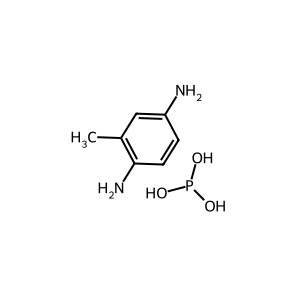 Cc1cc(N)ccc1N.OP(O)O